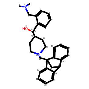 CN(C)Cc1ccccc1[C@H](O)C1CCN(CC23CC(c4ccccc42)c2ccccc23)CC1